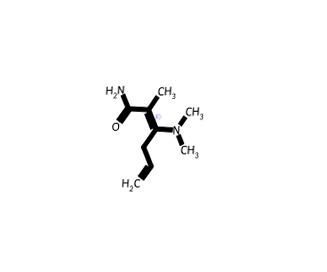 C=CC/C(=C(/C)C(N)=O)N(C)C